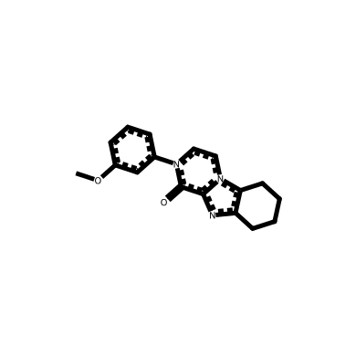 COc1cccc(-n2ccn3c4c(nc3c2=O)CCCC4)c1